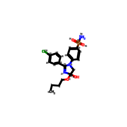 CCCCOC1(O)CN(c2ccc(S(N)(=O)=O)cc2)C(c2ccc(Cl)cc2)=N1